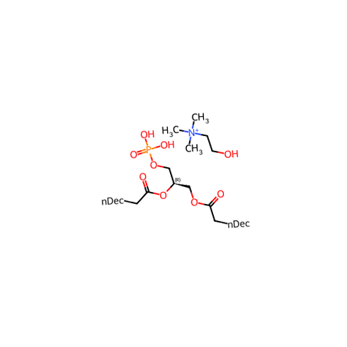 CCCCCCCCCCCC(=O)OC[C@H](COP(=O)(O)O)OC(=O)CCCCCCCCCCC.C[N+](C)(C)CCO